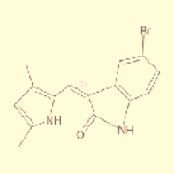 Cc1cc(C)c(/C=C2\C(=O)Nc3ccc(Br)cc32)[nH]1